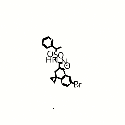 CC(c1ccccc1)S(=O)(=O)Nc1noc2c1CC1(CC1)c1ccc(Br)cc1-2